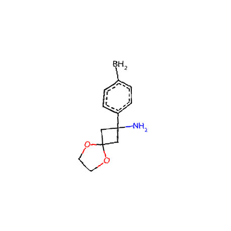 Bc1ccc(C2(N)CC3(C2)OCCO3)cc1